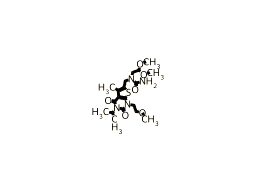 COCCn1c(=O)n(C(C)C)c(=O)c2c(C)c(CN(CC(OC)OC)C(N)=O)sc21